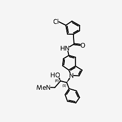 CNC[C@@H](O)[C@H](c1ccccc1)n1ccc2cc(NC(=O)c3cccc(Cl)c3)ccc21